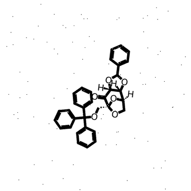 O=C1[C@@H]2OC(c3ccccc3)O[C@@H]2[C@H]2CO[C@]1(COC(c1ccccc1)(c1ccccc1)c1ccccc1)O2